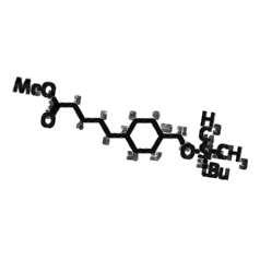 COC(=O)CCCCC1CCC(CO[Si](C)(C)C(C)(C)C)CC1